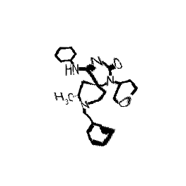 C[C@@H]1C[C@@]2(CCN1Cc1ccccc1)C(NC1CCCCC1)=NC(=O)N2C1CCOC1